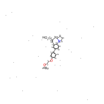 CCCCOCCOc1ccc(-c2ccc3c(c2)C=C(C(=O)O)CC2CCCN32)cc1